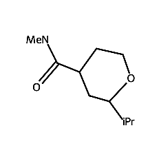 CNC(=O)C1CCOC(C(C)C)C1